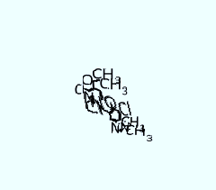 CC(C)C(=O)c1cc(Oc2c(Cl)cc(/N=C\N(C)C)cc2Cl)nnc1Cl